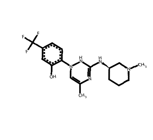 CC1=CN(c2ccc(C(F)(F)F)cc2O)NC(N[C@@H]2CCCN(C)C2)=N1